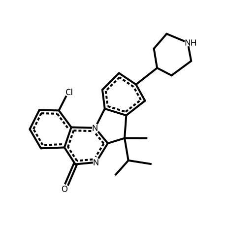 CC(C)C1(C)c2cc(C3CCNCC3)ccc2-n2c1nc(=O)c1cccc(Cl)c12